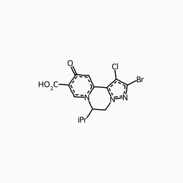 CC(C)C1Cn2nc(Br)c(Cl)c2-c2cc(=O)c(C(=O)O)cn21